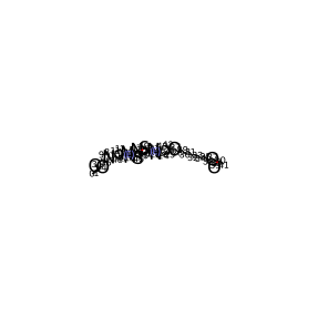 C=CC(=O)OCCN(CC)c1ccc(/N=N/c2nc3sc(/N=N/c4ccc(OCCCCCCCCCOC(=O)CC)cc4)cc3s2)cc1